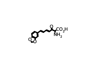 NC(C(=O)O)C(=O)C=CC=Cc1ccc2c(c1)OCO2